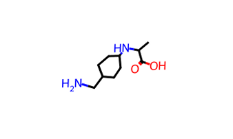 CC(NC1CCC(CN)CC1)C(=O)O